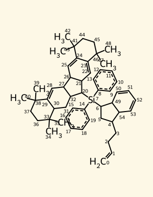 C=CCCC1CC([Si](c2ccccc2)(c2ccccc2)C2C3C=C4C(=CC3C3C=C5C(CC32)C(C)(C)CCC5(C)C)C(C)(C)CCC4(C)C)C2C=CC=CC12